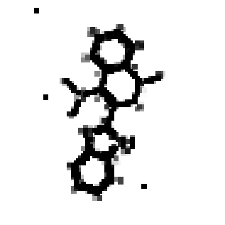 CN(C)C1=C(c2nc3ccccc3[nH]2)CN(C)c2ccccc21